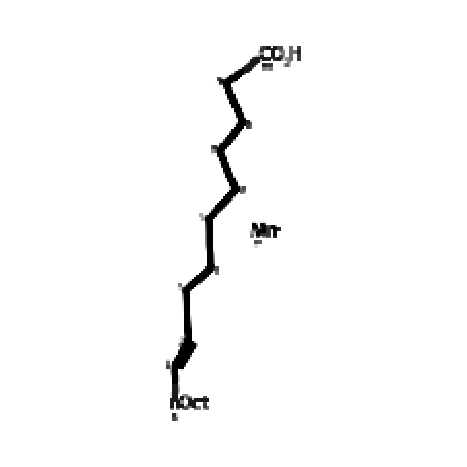 CCCCCCCCC=CCCCCCCCC(=O)O.[Mn]